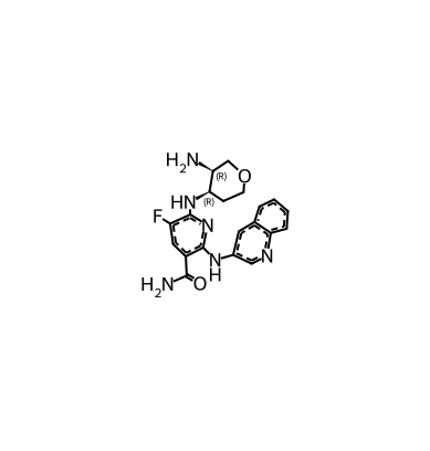 NC(=O)c1cc(F)c(N[C@@H]2CCOC[C@@H]2N)nc1Nc1cnc2ccccc2c1